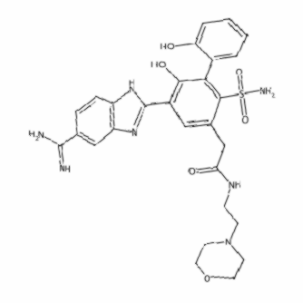 N=C(N)c1ccc2[nH]c(-c3cc(CC(=O)NCCN4CCOCC4)c(S(N)(=O)=O)c(-c4ccccc4O)c3O)nc2c1